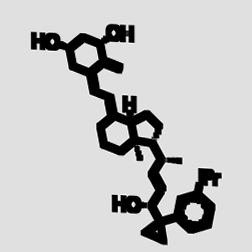 C=C1/C(=C\C=C2/CCC[C@]3(C)[C@@H]([C@H](C)/C=C/[C@@H](O)C4(c5cccc(C(C)C)c5)CC4)CC[C@@H]23)C[C@@H](O)C[C@@H]1O